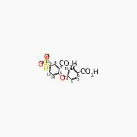 O=C(O)c1ccc(Oc2ccc([SH](=O)=O)cc2)cc1C(=O)O